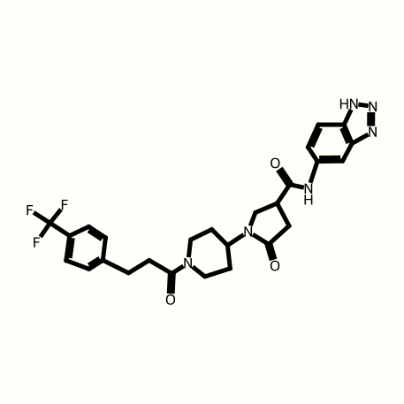 O=C(Nc1ccc2[nH]nnc2c1)C1CC(=O)N(C2CCN(C(=O)CCc3ccc(C(F)(F)F)cc3)CC2)C1